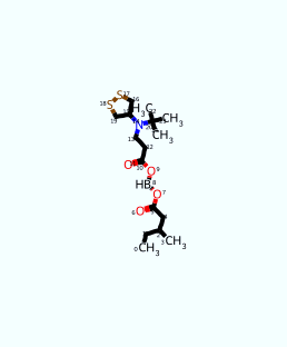 CCC(C)CC(=O)OBOC(=O)CCN(C1CSSC1)C(C)(C)C